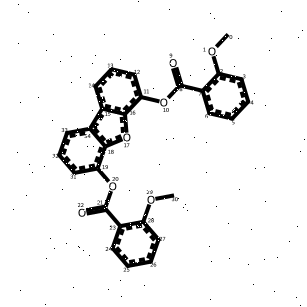 COc1ccccc1C(=O)Oc1cccc2c1oc1c(OC(=O)c3ccccc3OC)cccc12